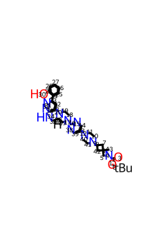 CC(C)(C)OC(=O)N1CC2(CC(N3CCN(c4cnc(N5CCN6c7cc(-c8ccccc8O)nnc7NC[C@H]6C5)nc4)CC3)C2)C1